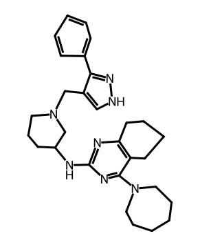 c1ccc(-c2n[nH]cc2CN2CCCC(Nc3nc4c(c(N5CCCCCC5)n3)CCCC4)C2)cc1